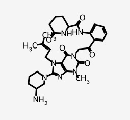 CC(C)=CCn1c(N2CCCC(N)C2)nc2c1c(=O)n(CC(=O)c1ccccc1NC(=O)C1CCCC(=O)N1)c(=O)n2C